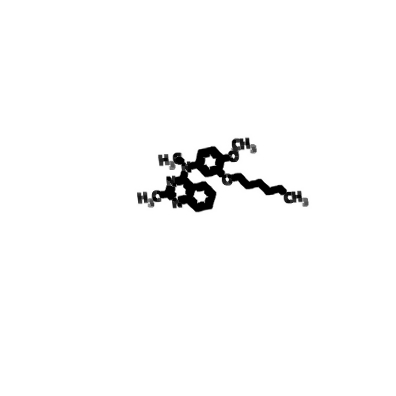 CCCCCCOc1cc(N(C)c2nc(C)nc3ccccc23)ccc1OC